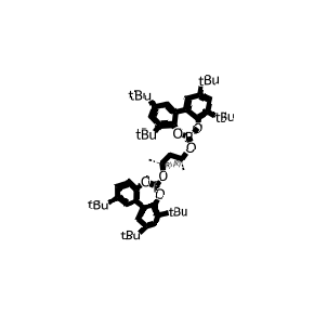 C[C@H](C[C@@H](C)Op1oc2c(C(C)(C)C)cc(C(C)(C)C)cc2c2cc(C(C)(C)C)cc(C(C)(C)C)c2o1)Op1oc2ccc(C(C)(C)C)cc2c2cc(C(C)(C)C)cc(C(C)(C)C)c2o1